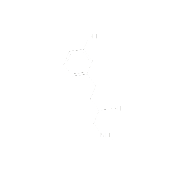 NCC(O)CCc1cccc(O)c1